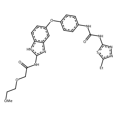 CCc1nnc(NC(=O)Nc2ccc(Oc3ccc4[nH]c(NC(=O)COCCOC)nc4c3)cc2)s1